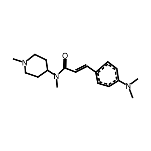 CN1CCC(N(C)C(=O)C=Cc2ccc(N(C)C)cc2)CC1